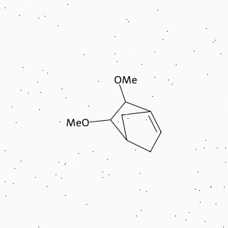 COC1C2=CCC(C2)C1OC